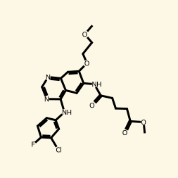 COCCOc1cc2ncnc(Nc3ccc(F)c(Cl)c3)c2cc1NC(=O)CCCC(=O)OC